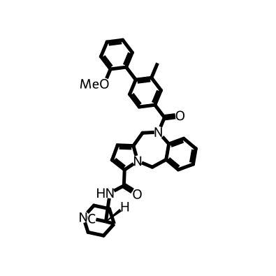 COc1ccccc1-c1ccc(C(=O)N2Cc3ccc(C(=O)N[C@H]4CN5CCC4CC5)n3Cc3ccccc32)cc1C